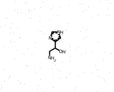 NCC(O)c1c[nH]cn1